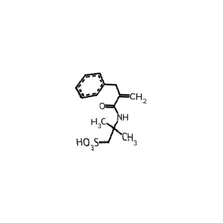 C=C(Cc1ccccc1)C(=O)NC(C)(C)CS(=O)(=O)O